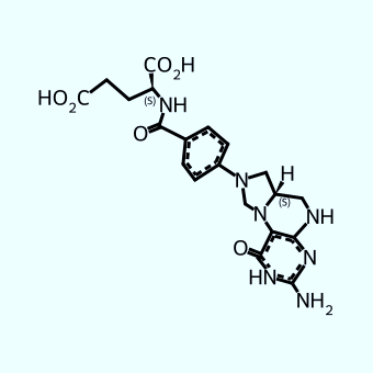 Nc1nc2c(c(=O)[nH]1)N1CN(c3ccc(C(=O)N[C@@H](CCC(=O)O)C(=O)O)cc3)C[C@@H]1CN2